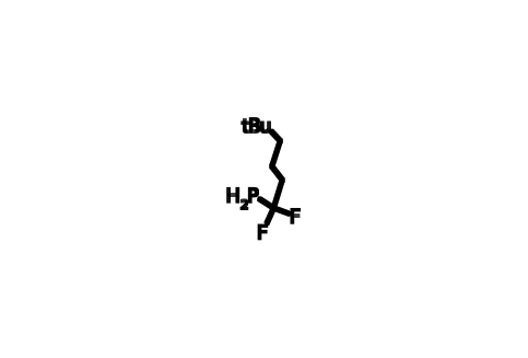 CC(C)(C)CCCC(F)(F)P